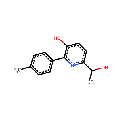 Oc1ccc(C(O)C(F)(F)F)nc1-c1ccc(C(F)(F)F)cc1